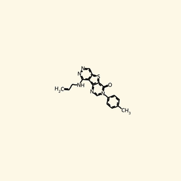 C=CCNc1nncc2sc3c(=O)n(-c4ccc(C)cc4)cnc3c12